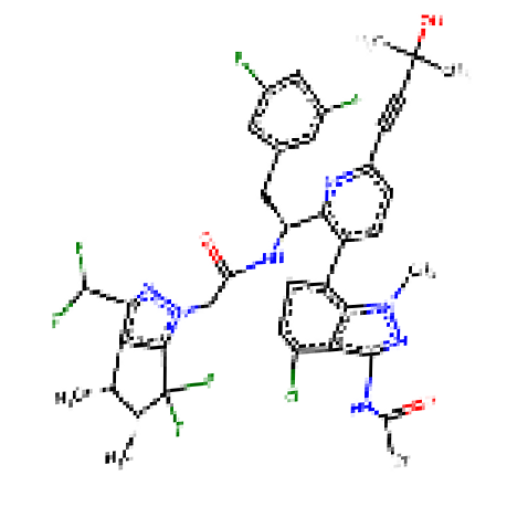 CC(C)C(=O)Nc1nn(C)c2c(-c3ccc(C#CC(C)(C)O)nc3[C@H](Cc3cc(F)cc(F)c3)NC(=O)Cn3nc(C(F)F)c4c3C(F)(F)[C@H](C)[C@@H]4C)ccc(Cl)c12